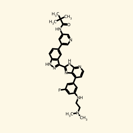 CN(C)CCNc1cc(F)cc(-c2ccnc3[nH]c(-c4n[nH]c5ccc(-c6cncc(NC(=O)C(C)(C)C)c6)cc45)nc23)c1